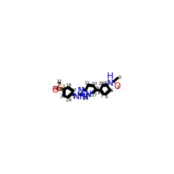 CC(=O)Nc1cccc(-c2ccc3nc(Nc4ccc([S+](C)[O-])cc4)nn3c2)c1